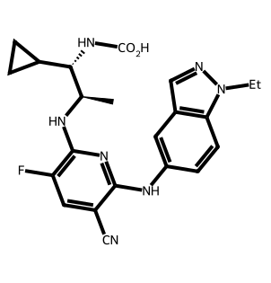 CCn1ncc2cc(Nc3nc(N[C@H](C)[C@@H](NC(=O)O)C4CC4)c(F)cc3C#N)ccc21